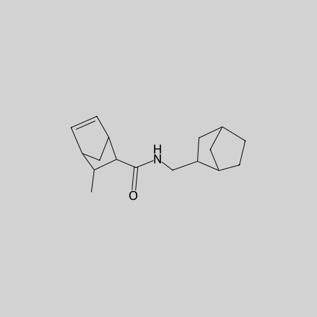 CC1C2C=CC(C2)C1C(=O)NCC1CC2CCC1C2